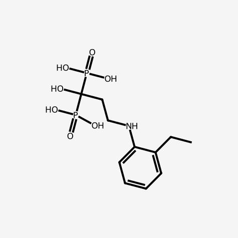 CCc1ccccc1NCCC(O)(P(=O)(O)O)P(=O)(O)O